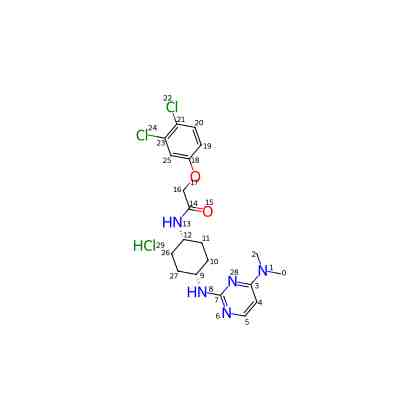 CN(C)c1ccnc(N[C@H]2CC[C@@H](NC(=O)COc3ccc(Cl)c(Cl)c3)CC2)n1.Cl